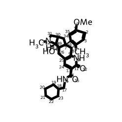 COc1ccc(C)c([C@@]23Cc4[nH]c(=O)c(C(=O)NCC5CCCCC5)cc4C[C@@]2(O)[C@H]2C(CN2C)C3)c1